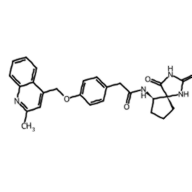 Cc1cc(COc2ccc(CC(=O)N[C@@H]3CCC[C@@]34NC(=O)NC4=O)cc2)c2ccccc2n1